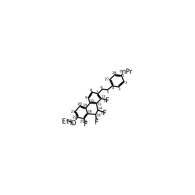 CCCc1ccc(CCc2ccc3c(c2F)C(F)C(F)c2c-3ccc(OCC)c2F)cc1